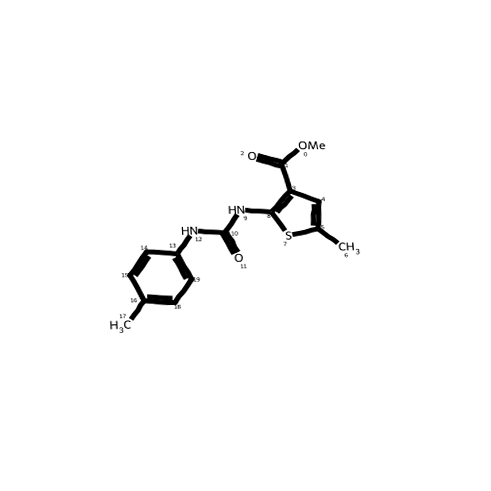 COC(=O)c1cc(C)sc1NC(=O)Nc1ccc(C)cc1